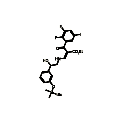 CCOC(=O)C(=CNCC(O)c1cccc(O[Si](C)(C)C(C)(C)C)c1)C(=O)c1cc(I)cc(F)c1F